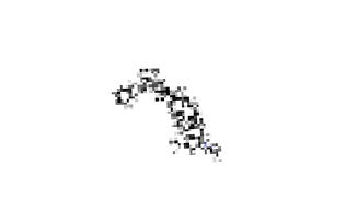 C=C(C)[C@@H]1CC[C@]2(/C=C/OC)CC[C@]3(C)C(CCC4[C@@]5(C)CC[C@H](OC(=O)CC(C)(C)C(=O)OCc6ccccc6)C(C)(C)C5CC[C@]43C)C12